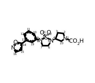 O=C(O)N1CC[C@H](N2CCN(c3cccc(-c4ccno4)c3)S2(=O)=O)C1